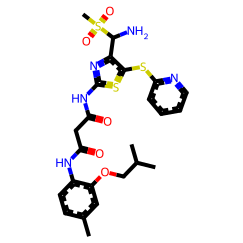 Cc1ccc(NC(=O)CC(=O)Nc2nc(C(N)S(C)(=O)=O)c(Sc3ccccn3)s2)c(OCC(C)C)c1